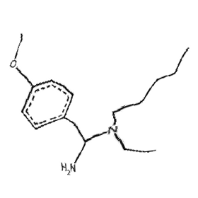 CCCCCN(CC)C(N)c1ccc(OC)cc1